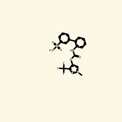 Cn1cc(OC(=O)Nc2ccccc2-c2cccc(S(N)(=O)=O)c2)c(C(F)(F)F)n1